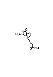 Nc1nc2c(ncn2COCCC(=O)O)c(=O)[nH]1